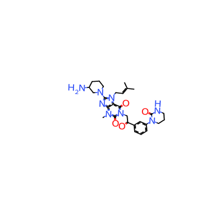 CC(C)=CCn1c(N2CCCC(N)C2)nc2c1c(=O)n(CC(=O)c1cccc(N3CCCNC3=O)c1)c(=O)n2C